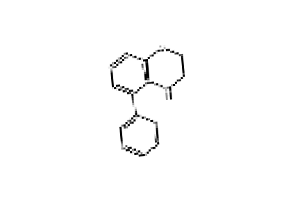 c1ccc(-c2cccc3c2NCCO3)cc1